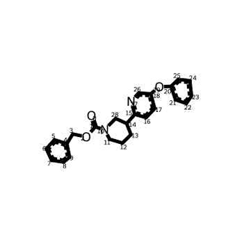 O=C(OCc1ccccc1)N1CCCC(c2ccc(Oc3ccccc3)cn2)C1